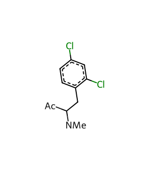 CNC(Cc1ccc(Cl)cc1Cl)C(C)=O